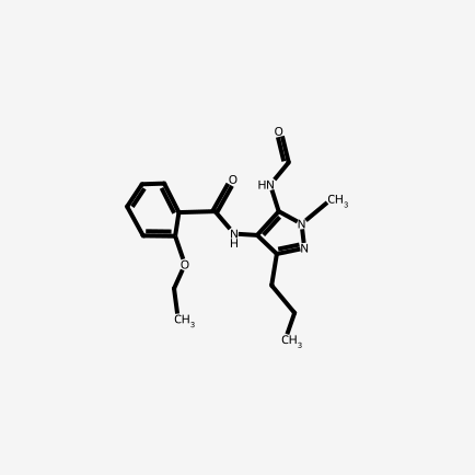 CCCc1nn(C)c(NC=O)c1NC(=O)c1ccccc1OCC